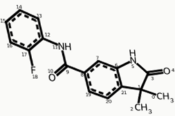 CC1(C)C(=O)Nc2cc(C(=O)Nc3ccccc3F)ccc21